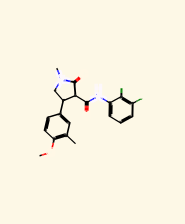 COc1ccc(C2CN(C)C(=O)C2C(=O)Nc2cccc(F)c2F)cc1C